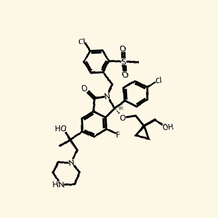 CC(O)(CN1CCNCC1)c1cc(F)c2c(c1)C(=O)N(Cc1ccc(Cl)cc1S(C)(=O)=O)[C@@]2(OCC1(CO)CC1)c1ccc(Cl)cc1